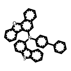 c1ccc(-c2ccc(N(c3cccc4sc5ccccc5c34)c3cc4ccccc4c4oc5ccccc5c34)cc2)cc1